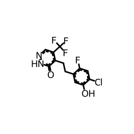 O=c1[nH]ncc(C(F)(F)F)c1CCc1cc(O)c(Cl)cc1F